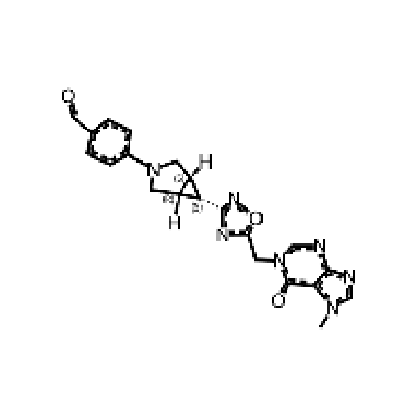 Cn1cnc2ncn(Cc3nc([C@@H]4[C@@H]5CN(c6ccc(C=O)cc6)C[C@@H]54)no3)c(=O)c21